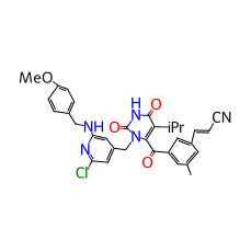 COc1ccc(CNc2cc(Cn3c(C(=O)c4cc(C)cc(/C=C/C#N)c4)c(C(C)C)c(=O)[nH]c3=O)cc(Cl)n2)cc1